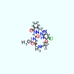 C[C@@H]1CN(C(=O)Cn2nc(Cc3nc4cc(Cl)c(OCC5(C#N)CC5)cc4[nH]3)c3ccccc3c2=O)C[C@H](C)O1